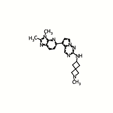 Cc1nc2ccc(-c3ccn4nc(NC5CC6(C5)CN(C)C6)ncc34)nc2n1C